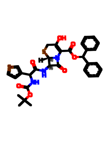 CC(C)(C)OC(=O)NC(C(=O)N[C@@H]1C(=O)N2C(C(=O)OC(c3ccccc3)c3ccccc3)=C(O)CS[C@H]12)c1ccsc1